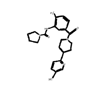 Cc1ccc(C(=O)N2CCC(c3ccc(C#N)cn3)CC2)cc1NC(=O)N1CCCC1